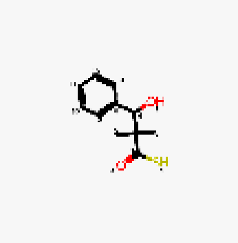 CC(C)(C(=O)S)C(O)c1ccccc1